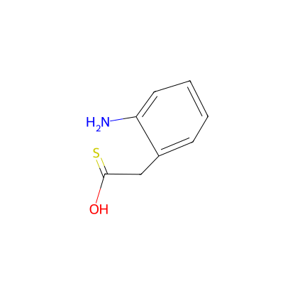 Nc1ccccc1CC(O)=S